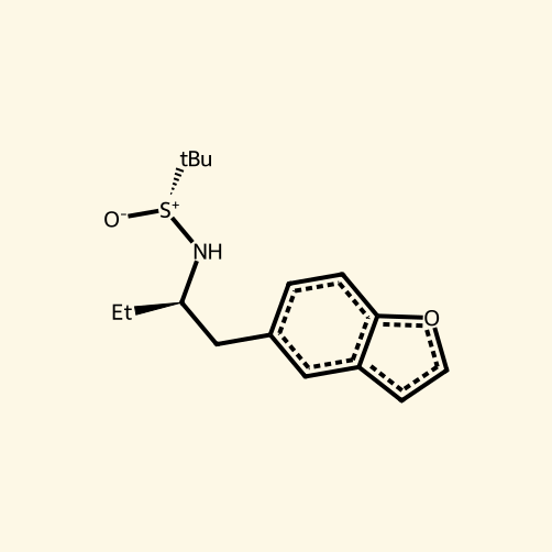 CC[C@H](Cc1ccc2occc2c1)N[S@+]([O-])C(C)(C)C